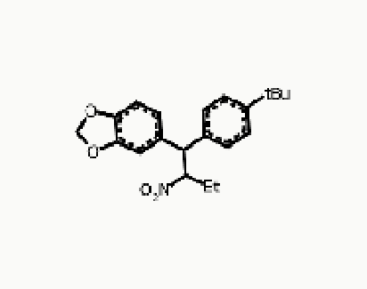 CCC(C(c1ccc(C(C)(C)C)cc1)c1ccc2c(c1)OCO2)[N+](=O)[O-]